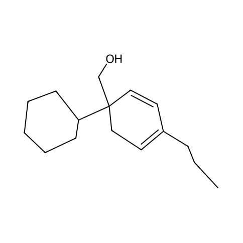 CCCC1=CCC(CO)(C2CCCCC2)C=C1